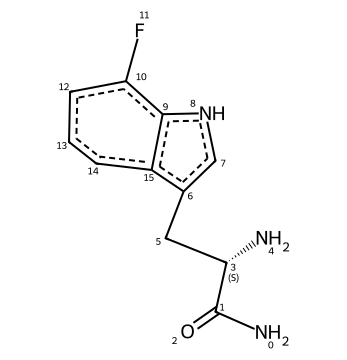 NC(=O)[C@@H](N)Cc1c[nH]c2c(F)cccc12